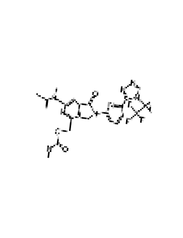 CNC(=O)OCc1nc(N(C)C(C)C)cc2c1CN(c1cccc(-c3nncn3C3(C(F)(F)F)CC3)n1)C2=O